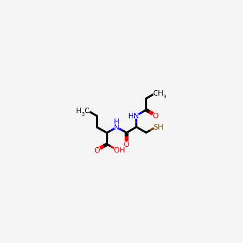 CCCC(NC(=O)C(CS)NC(=O)CC)C(=O)O